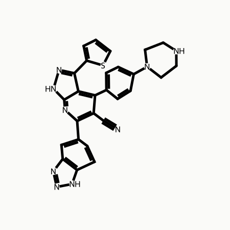 N#Cc1c(-c2ccc3[nH]nnc3c2)nc2[nH]nc(-c3cccs3)c2c1-c1ccc(N2CCNCC2)cc1